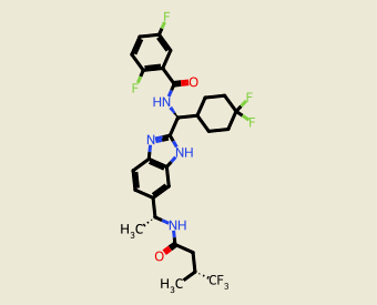 C[C@H](CC(=O)N[C@H](C)c1ccc2nc([C@@H](NC(=O)c3cc(F)ccc3F)C3CCC(F)(F)CC3)[nH]c2c1)C(F)(F)F